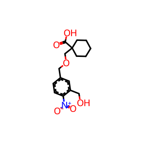 O=C(O)C1(COCc2ccc([N+](=O)[O-])c(CO)c2)CCCCC1